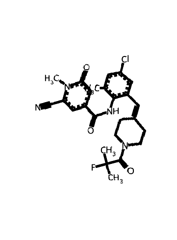 Cc1cc(Cl)cc(C=C2CCN(C(=O)C(C)(C)F)CC2)c1NC(=O)c1cc(C#N)n(C)c(=O)c1